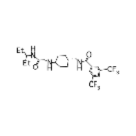 CCC(CC)NC(=O)CN[C@H]1CC[C@H](CNC(=O)c2cc(C(F)(F)F)cc(C(F)(F)F)c2)CC1